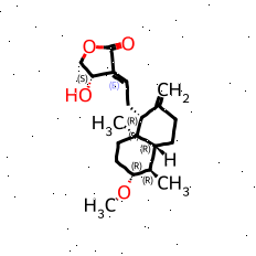 C=C1CC[C@@H]2[C@@H](C)[C@H](OC)CC[C@@]2(C)[C@@H]1C/C=C1/C(=O)OC[C@H]1O